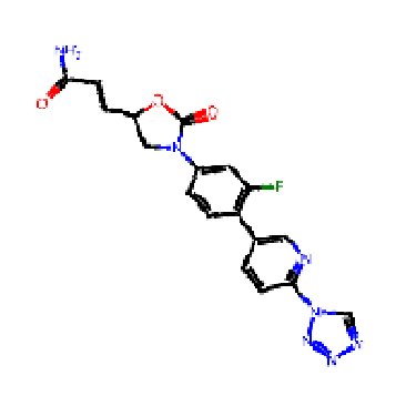 NC(=O)CCC1CN(c2ccc(-c3ccc(-n4cnnn4)nc3)c(F)c2)C(=O)O1